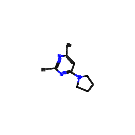 CC(C)c1cc(N2CCCC2)nc(C(C)C)n1